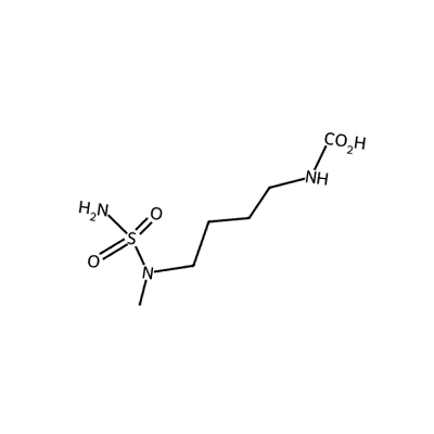 CN(CCCCNC(=O)O)S(N)(=O)=O